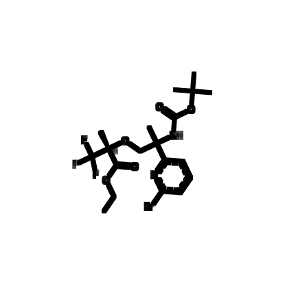 CCOC(=O)[C@@](C)(OCC(C)(NC(=O)OC(C)(C)C)c1cccc(Br)n1)C(F)(F)F